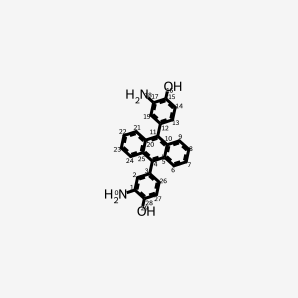 Nc1cc(-c2c3ccccc3c(-c3ccc(O)c(N)c3)c3ccccc23)ccc1O